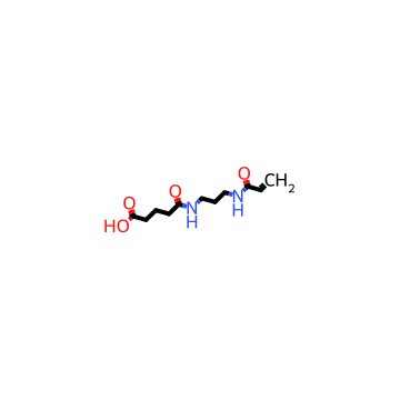 C=CC(=O)NCCCNC(=O)CCCC(=O)O